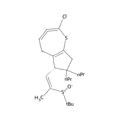 CCCC1(CCC)CC2=C(CC=C=C(Cl)S2)[C@H]1/C=C(/C)[S+]([O-])C(C)(C)C